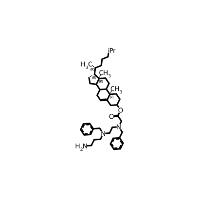 CC(C)CCC[C@@H](C)[C@H]1CCC2C3CC=C4CC(OC(=O)CN(CCN(CCCN)Cc5ccccc5)Cc5ccccc5)CC[C@]4(C)C3CC[C@@]21C